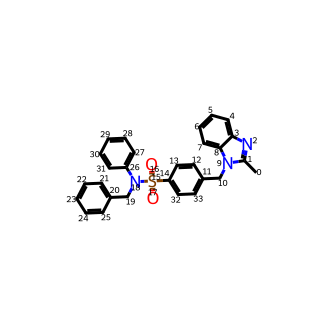 Cc1nc2ccccc2n1Cc1ccc(S(=O)(=O)N(Cc2ccccc2)c2ccccc2)cc1